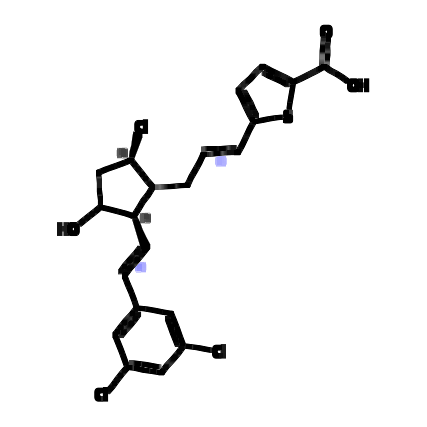 O=C(O)c1ccc(/C=C/CC2[C@@H](/C=C/c3cc(Cl)cc(Cl)c3)C(O)C[C@H]2Cl)s1